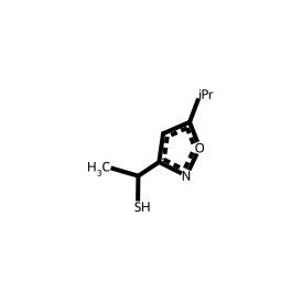 CC(C)c1cc(C(C)S)no1